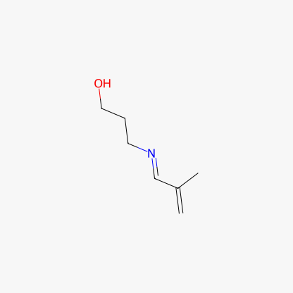 C=C(C)C=NCCCO